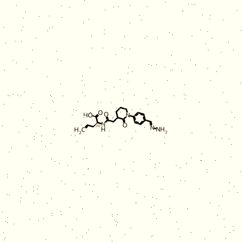 C=CC[C@H](NC(=O)CC1CCCN(c2ccc(C=NN)cc2)C1=O)C(=O)O